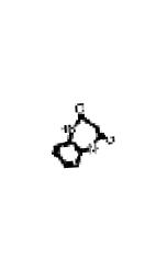 O=C1CC(=O)Nc2ccccc2[N]1